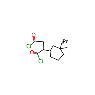 CC(C)C1(C)CCCC(C(CC(=O)Cl)C(=O)Cl)C1